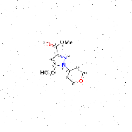 COC(=O)c1cc(C(=O)O)n(C2CCOCC2)n1